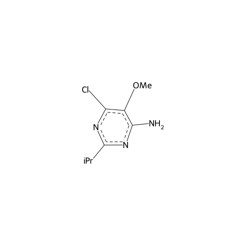 COc1c(N)nc(C(C)C)nc1Cl